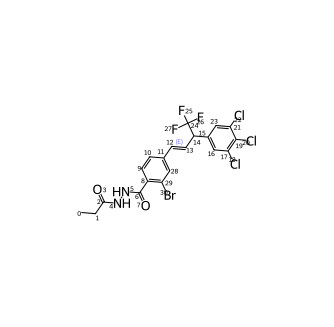 CCC(=O)NNC(=O)c1ccc(/C=C/C(c2cc(Cl)c(Cl)c(Cl)c2)C(F)(F)F)cc1Br